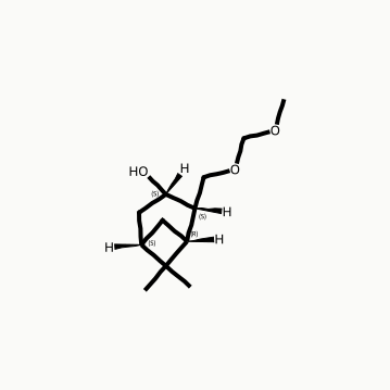 COCOC[C@@H]1[C@H]2C[C@@H](C[C@@H]1O)C2(C)C